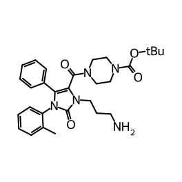 Cc1ccccc1-n1c(-c2ccccc2)c(C(=O)N2CCN(C(=O)OC(C)(C)C)CC2)n(CCCN)c1=O